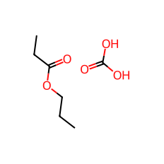 CCCOC(=O)CC.O=C(O)O